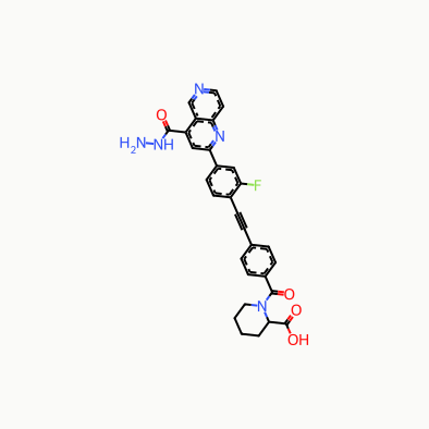 NNC(=O)c1cc(-c2ccc(C#Cc3ccc(C(=O)N4CCCCC4C(=O)O)cc3)c(F)c2)nc2ccncc12